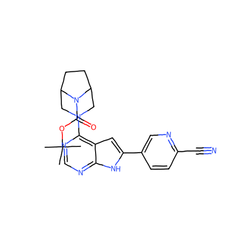 CC(C)(C)OC(=O)N1C2CCC1CN(c1ncnc3[nH]c(-c4ccc(C#N)nc4)cc13)C2